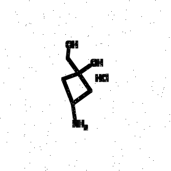 Cl.NC1CC(O)(CO)C1